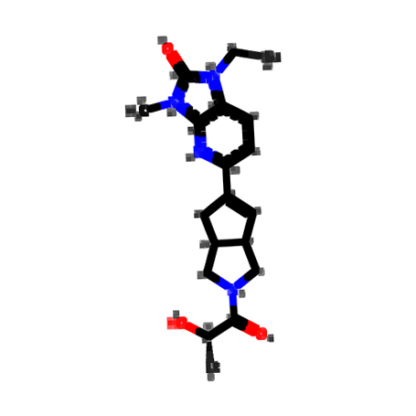 CC[C@H](O)C(=O)N1CC2C=C(c3ccc4c(n3)n(C)c(=O)n4CC(C)(C)C)CC2C1